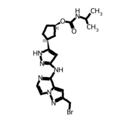 CC(C)NC(=O)O[C@@H]1CC[C@H](c2cc(Nc3nccn4nc(CBr)cc34)n[nH]2)C1